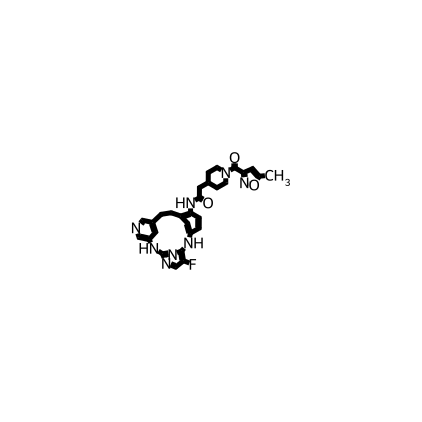 Cc1cc(C(=O)N2CCC(CC(=O)Nc3ccc4cc3CCc3cncc(c3)Nc3ncc(F)c(n3)N4)CC2)no1